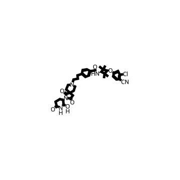 CC1(C)[C@H](NC(=O)c2ccc(CCCN3CCC4(CC3)CC(=O)N(C3CCC(=O)NC3O)C4=O)cc2)C(C)(C)[C@H]1Oc1ccc(C#N)c(Cl)c1